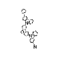 N#Cc1ccc2c(c1)c1ccccc1n2-c1ccc2oc3ccc(-n4c5ccccc5c5cc(-c6ccccc6)ccc54)cc3c2c1